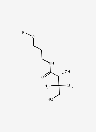 CCOCCCNC(=O)[C@H](O)C(C)(C)CO